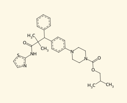 CC(C)COC(=O)N1CCN(c2ccc(C(c3ccccc3)C(C)(C)C(=O)Nc3nccs3)cc2)CC1